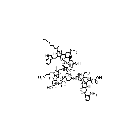 CCCCCCCC(C)C(=O)NC(Cc1c[nH]c2ccccc12)C(=O)NC(CC(N)=O)C(=O)NC(CC(=O)O)C(=O)NC(C(=O)NCC(=O)NC(CCCN)C(=O)NC(CC(=O)O)C(=O)NC(C)C(=O)NC(CC(=O)NCC(=O)NC(CO)C(=O)NC(C(=O)NC(CC(=O)c1ccccc1N)C(=O)O)C(C)CC(=O)O)C(=O)O)C(C)O